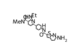 CCNc1nc(-c2ccc(NC(=O)c3cc4ccc(N)nc4s3)cc2)ccc1C(=O)NC